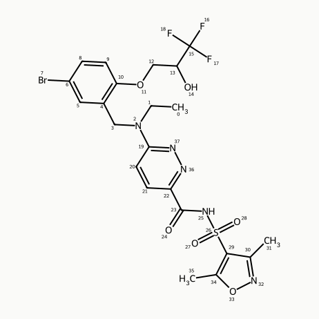 CCN(Cc1cc(Br)ccc1OCC(O)C(F)(F)F)c1ccc(C(=O)NS(=O)(=O)c2c(C)noc2C)nn1